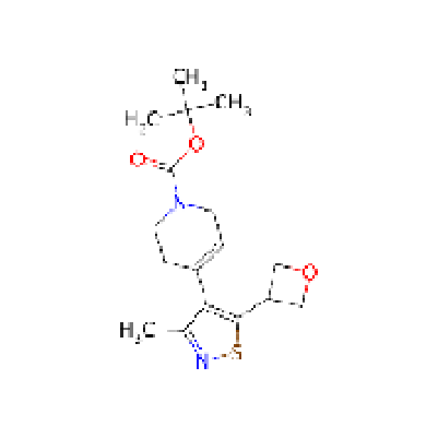 Cc1nsc(C2COC2)c1C1=CCN(C(=O)OC(C)(C)C)CC1